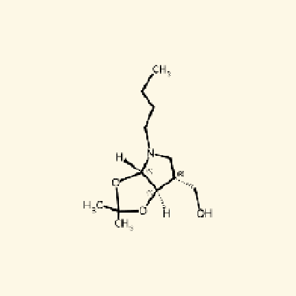 CCCCN1C[C@H](CO)[C@H]2OC(C)(C)O[C@@H]21